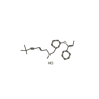 C/C=C(\Oc1cccc(CN(C)C/C=C/C#CC(C)(C)C)c1)c1ccccc1.Cl